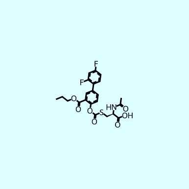 CCCOC(=O)c1cc(-c2ccc(F)cc2F)ccc1OC(=O)SC[C@@H](NC(C)=O)C(=O)O